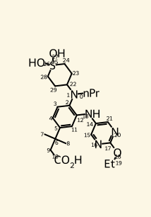 CCCN(c1ccc(C(C)(C)CC(=O)O)cc1Nc1cnc(OCC)nc1)C1CCS(O)(O)CC1